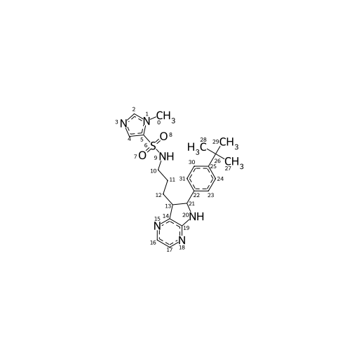 Cn1cncc1S(=O)(=O)NCCCC1c2nccnc2NC1c1ccc(C(C)(C)C)cc1